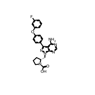 Nc1ncnc2c1c(-c1ccc(Oc3cccc(F)c3)cc1)nn2C[C@H]1CCCN1C(=O)O